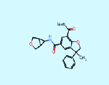 CNC(=O)c1cc(C(=O)NC2C3COCC32)cc2c1OCC2(C)c1ccccc1